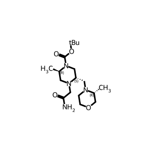 C[C@@H]1COCCN1C[C@H]1CN(C(=O)OC(C)(C)C)[C@H](C)CN1CC(N)=O